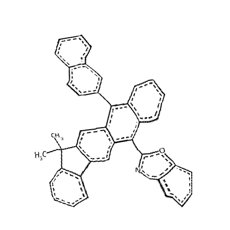 CC1(C)c2ccccc2-c2cc3c(-c4nc5ccccc5o4)c4ccccc4c(-c4ccc5ccccc5c4)c3cc21